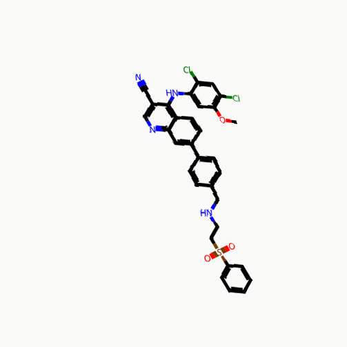 COc1cc(Nc2c(C#N)cnc3cc(-c4ccc(CNCCS(=O)(=O)c5ccccc5)cc4)ccc23)c(Cl)cc1Cl